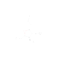 CO[C@H]1[C@@H](CCC(C)=O)OC(OC(C)=O)[C@@H]1OC(C)=O